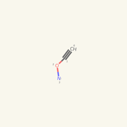 C#CO[N]